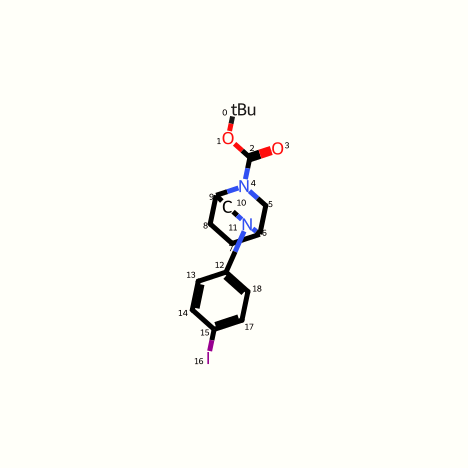 CC(C)(C)OC(=O)N1CC2CCC1CN2c1ccc(I)cc1